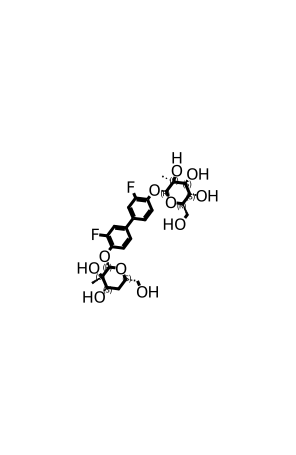 C[C@@]1(O)[C@@H](Oc2ccc(-c3ccc(O[C@H]4O[C@H](CO)[C@@H](O)[C@H](O)[C@]4(C)O)c(F)c3)cc2F)O[C@H](CO)C[C@@H]1O